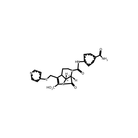 NC(=O)c1ccc(NC(=O)N2CCC3C(CSc4ccncc4)=C(C(=O)O)N4C(=O)[C@@H]2[C@@H]34)cc1